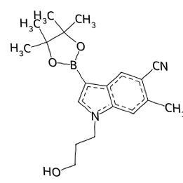 Cc1cc2c(cc1C#N)c(B1OC(C)(C)C(C)(C)O1)cn2CCCO